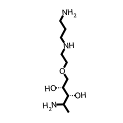 CC(N)[C@@H](O)[C@H](O)COCCNCCCN